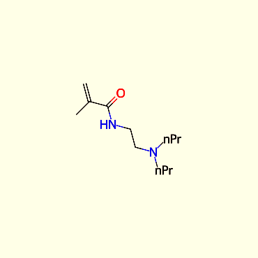 C=C(C)C(=O)NCCN(CCC)CCC